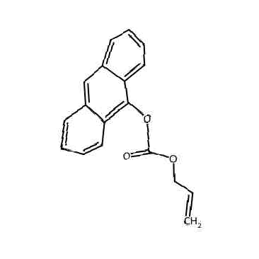 C=CCOC(=O)Oc1c2ccccc2cc2ccccc12